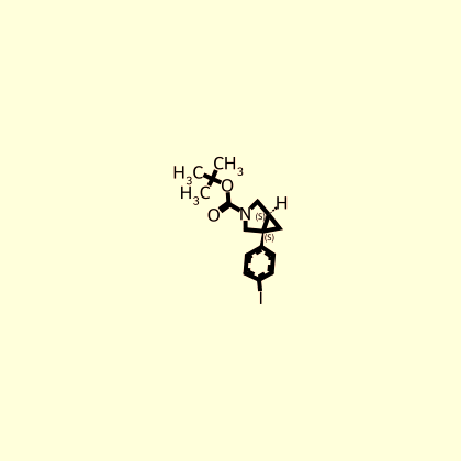 CC(C)(C)OC(=O)N1C[C@H]2C[C@]2(c2ccc(I)cc2)C1